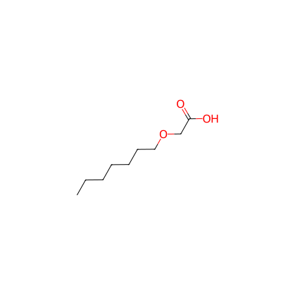 CCCCCCCOCC(=O)O